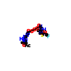 CC(=O)c1c(C)c2cnc(Nc3ccc(N4CCN(C(=O)CCOCCOCCOCCC(=O)N(C)C(C)C(=O)NC(C(=O)N5CCC[C@H]5c5nc(C(=O)c6ccc(F)cc6)cs5)C5CCCCC5)CC4)cn3)nc2n(C2CCCC2)c1=O